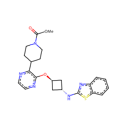 COC(=O)N1CCC(c2nccnc2O[C@H]2C[C@H](Nc3nc4ccccc4s3)C2)CC1